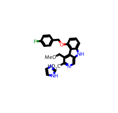 COCc1c(C(=O)O)ncc2[nH]c3cccc(OCc4ccc(F)cc4)c3c12.c1c[nH]cn1